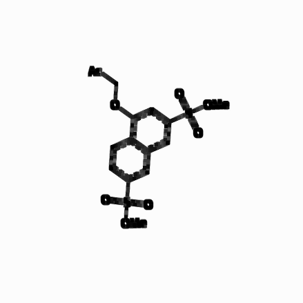 COS(=O)(=O)c1ccc2c(OCC(C)=O)cc(S(=O)(=O)OC)cc2c1